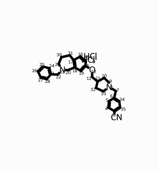 Cl.Cl.N#Cc1ccc(CN2CCC(COc3ccc4c(c3)CN(Cc3ccccc3)CCC4)CC2)cc1